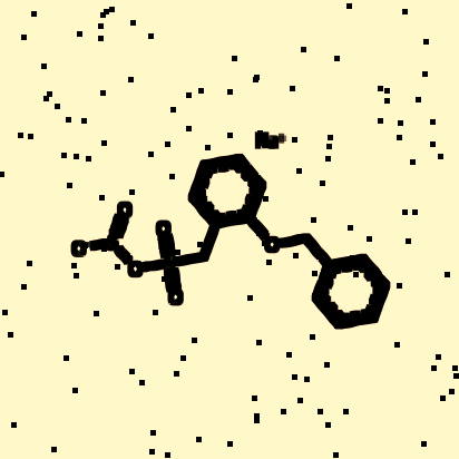 O=S([O-])OS(=O)(=O)Cc1ccccc1OCc1ccccc1.[Na+]